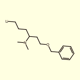 [Li][CH2]CCC(CCOCc1ccccc1)N(C)C